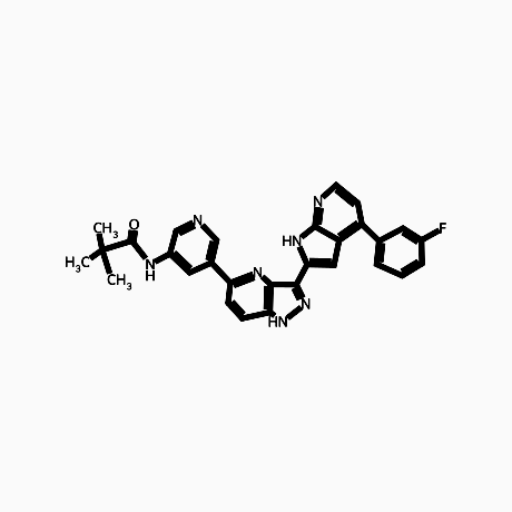 CC(C)(C)C(=O)Nc1cncc(-c2ccc3[nH]nc(-c4cc5c(-c6cccc(F)c6)ccnc5[nH]4)c3n2)c1